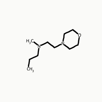 CCCN(C)CCN1CCOCC1